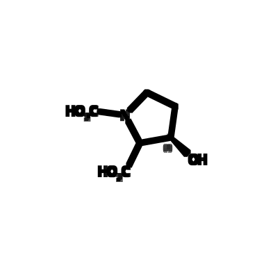 O=C(O)C1[C@H](O)CCN1C(=O)O